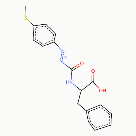 CSc1ccc(/N=N/C(=O)NC(Cc2ccccc2)C(=O)O)cc1